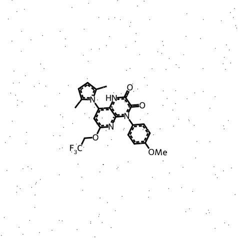 COc1ccc(-n2c(=O)c(=O)[nH]c3c(-n4c(C)ccc4C)cc(OCC(F)(F)F)nc32)cc1